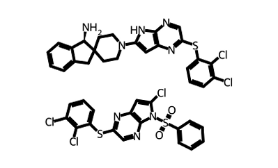 N[C@@H]1c2ccccc2CC12CCN(c1cc3nc(Sc4cccc(Cl)c4Cl)cnc3[nH]1)CC2.O=S(=O)(c1ccccc1)n1c(Cl)cc2nc(Sc3cccc(Cl)c3Cl)cnc21